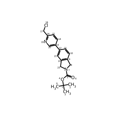 CC(C)(C)OC(=O)N1Cc2ccc(-c3ccc(CCl)nc3)cc2C1